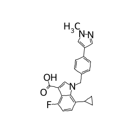 Cn1cc(-c2ccc(Cn3cc(C(=O)O)c4c(F)ccc(C5CC5)c43)cc2)cn1